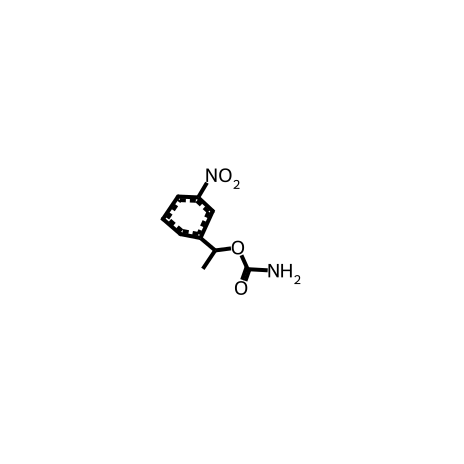 CC(OC(N)=O)c1cccc([N+](=O)[O-])c1